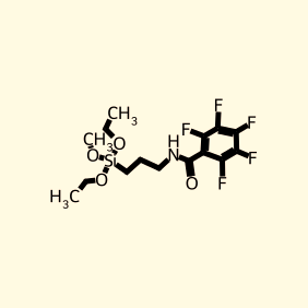 CCO[Si](CCCNC(=O)c1c(F)c(F)c(F)c(F)c1F)(OC)OCC